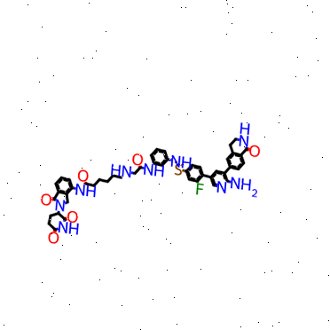 Nc1ncc(-c2ccc(SNc3cccc(NC(=O)CNCCCCCC(=O)Nc4cccc5c4CN(C4CCC(=O)NC4=O)C5=O)c3)cc2F)cc1-c1ccc2c(c1)CCNC2=O